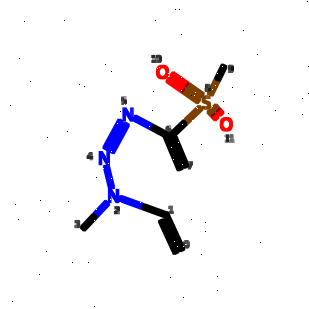 C=CN(C)/N=N\C(=C)S(C)(=O)=O